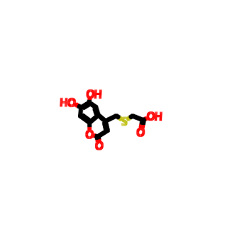 O=C(O)CSCc1cc(=O)oc2cc(O)c(O)cc12